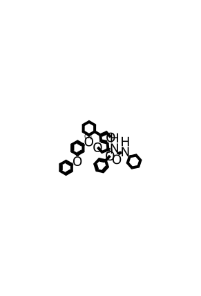 O=C(NC1CCCCC1)N[C@]1(Oc2ccccc2)COc2c(C3CCCC[C@@H]3Oc3cccc(Oc4ccccc4)c3)coc21